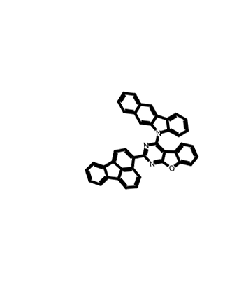 c1ccc2c(c1)-c1cccc3c(-c4nc(-n5c6ccccc6c6cc7ccccc7cc65)c5c(n4)oc4ccccc45)ccc-2c13